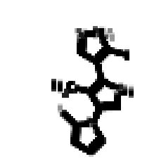 Cc1c(-n2cccc2I)c[nH]c1-c1cn[nH]c1I